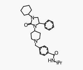 CC(C)NC(=O)c1ccc(CN2CCC(N3C(=O)N(C4CCCCC4)CC3c3ccccc3)CC2)cc1